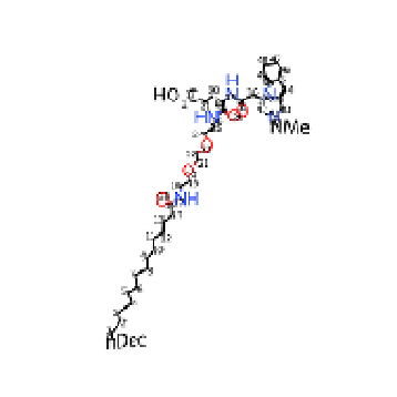 CCCCCCCCCCCCCCCCCCCCCCCCC(=O)NCCOCCOCCNC(=O)[C@H](CCC(=O)O)NC(=O)CCn1c(CN(C)NC)cc2ccccc21